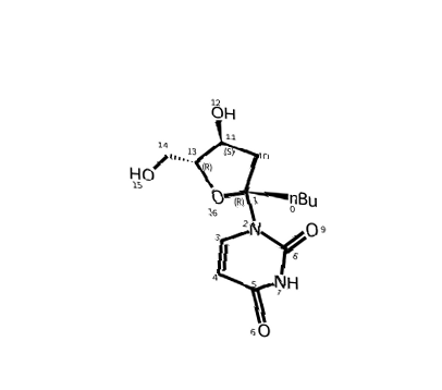 CCCC[C@]1(n2ccc(=O)[nH]c2=O)C[C@H](O)[C@@H](CO)O1